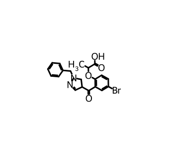 CC(Oc1ccc(Br)cc1C(=O)C1C=NN(Cc2ccccc2)C1)C(=O)O